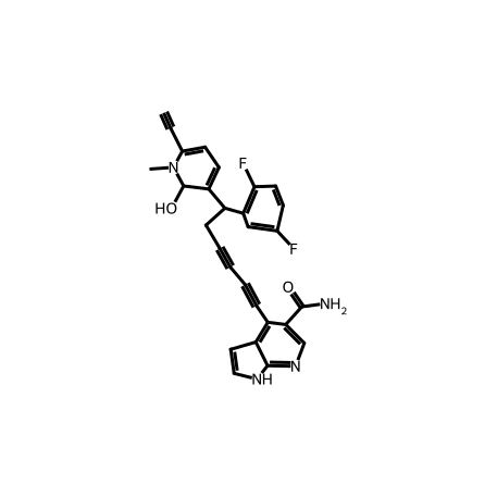 C#CC1=CC=C(C(CC#CC#Cc2c(C(N)=O)cnc3[nH]ccc23)c2cc(F)ccc2F)C(O)N1C